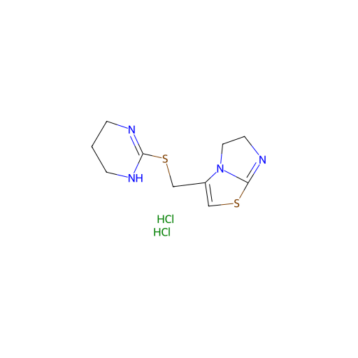 C1=C(CSC2=NCCCN2)N2CCN=C2S1.Cl.Cl